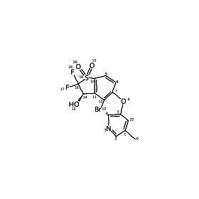 Cc1cncc(Oc2ccc3c(c2Br)[C@@H](O)C(F)(F)S3(=O)=O)c1